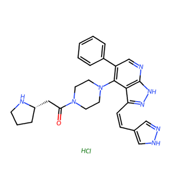 Cl.O=C(C[C@@H]1CCCN1)N1CCN(c2c(-c3ccccc3)cnc3[nH]nc(/C=C\c4cn[nH]c4)c23)CC1